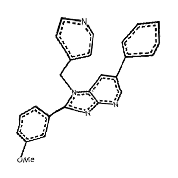 COc1cccc(-c2nc3ncc(-c4ccccc4)cc3n2Cc2ccncc2)c1